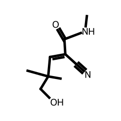 CNC(=O)/C(C#N)=C/C(C)(C)CO